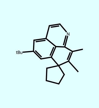 CC1=C(C)C2(CCCC2)c2cc(C(C)(C)C)cc3ccnc1c23